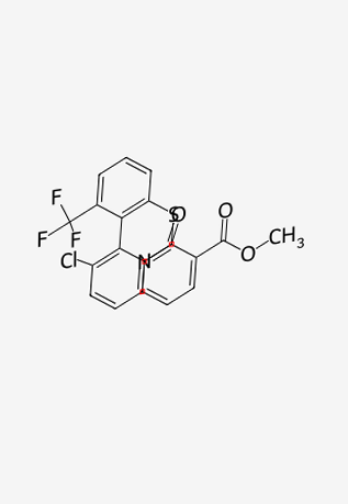 COC(=O)c1cccnc1Sc1cccc(C(F)(F)F)c1-c1c(Cl)cccc1C=O